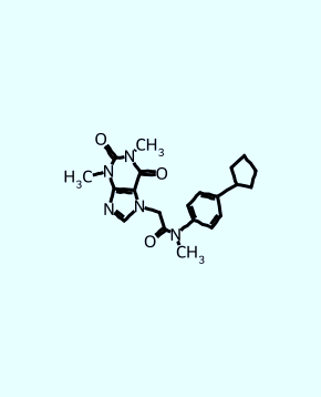 CN(C(=O)Cn1cnc2c1c(=O)n(C)c(=O)n2C)c1ccc(C2CCCC2)cc1